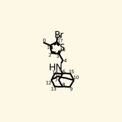 Cc1cc(CNC23CC4CC(CC(C4)C2)C3)sc1Br